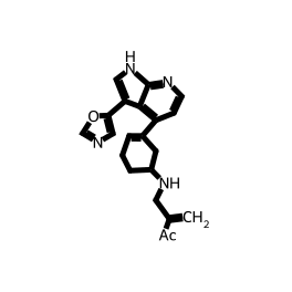 C=C(CNC1CCC=C(c2ccnc3[nH]cc(-c4cnco4)c23)C1)C(C)=O